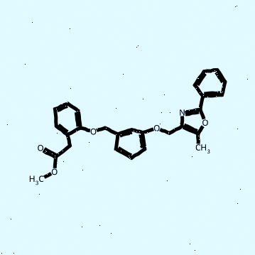 COC(=O)Cc1ccccc1OCc1cccc(OCc2nc(-c3ccccc3)oc2C)c1